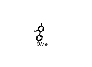 COc1ccc(-c2ccc(C)cc2F)cc1